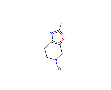 CC(C)N1CCc2nc(I)oc2C1